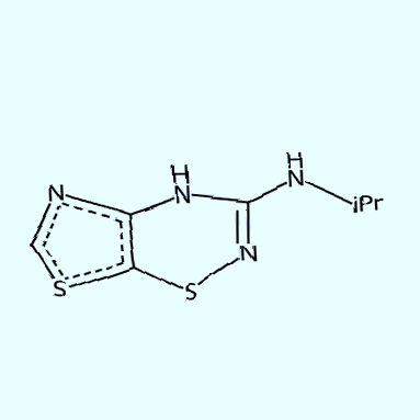 CC(C)NC1=NSc2scnc2N1